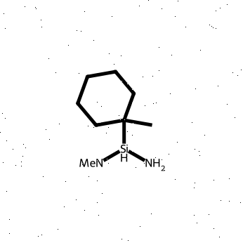 CN[SiH](N)C1(C)CCCCC1